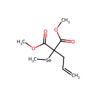 C=CCC([Se]C)(C(=O)OC)C(=O)OC